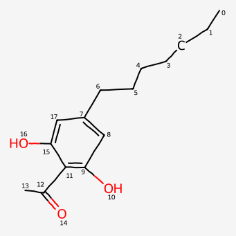 CCCCCCCc1cc(O)c(C(C)=O)c(O)c1